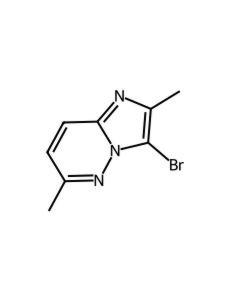 Cc1ccc2nc(C)c(Br)n2n1